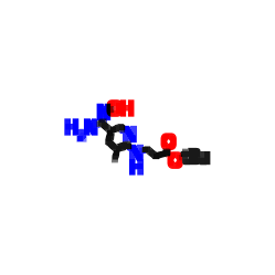 Cc1cc(/C(N)=N\O)cnc1NCCC(=O)OC(C)(C)C